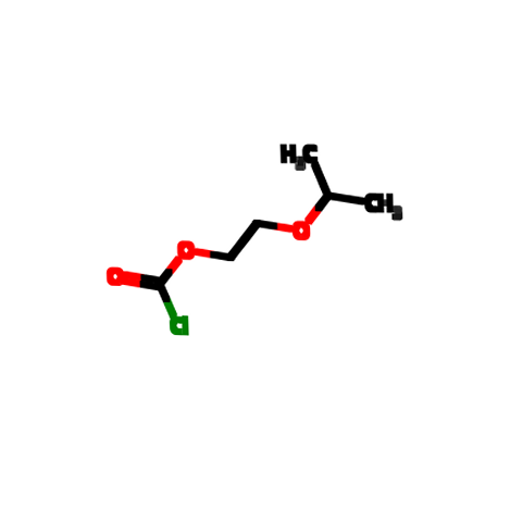 CC(C)OCCOC(=O)Cl